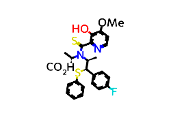 COc1ccnc(C(=S)N([C@@H](C)C(=O)O)[C@@H](C)[C@H](Sc2ccccc2)c2ccc(F)cc2)c1O